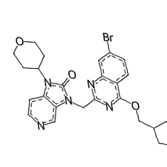 O=c1n(Cc2nc(OCC3CCOC3)c3ccc(Br)cc3n2)c2cnccc2n1C1CCOCC1